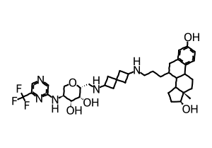 C[C@]12CCC3c4ccc(O)cc4CC(CCCNC4CC5(C4)CC(NC[C@H]4OC[C@H](Nc6cncc(C(F)(F)F)n6)[C@@H](O)[C@H]4O)C5)C3C1CC[C@@H]2O